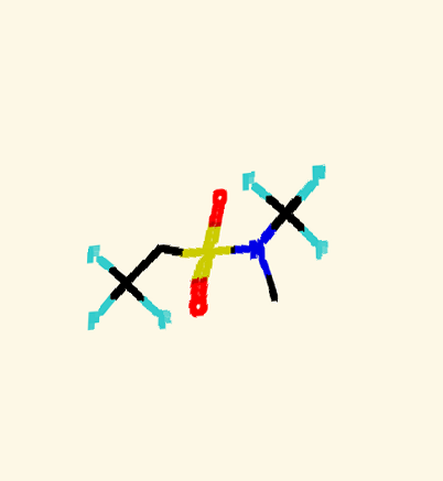 CN(C(F)(F)F)S(=O)(=O)CC(F)(F)F